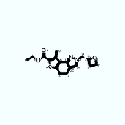 CCOC(=O)c1oc2c(c1C)-c1nn(C[C@@H]3CCO3)cc1CC2